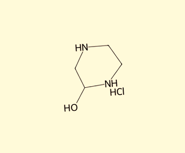 Cl.OC1CNCCN1